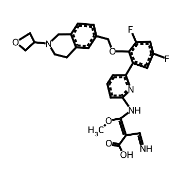 CO/C(Nc1cccc(-c2cc(F)cc(F)c2OCc2ccc3c(c2)CCN(C2COC2)C3)n1)=C(/C=N)C(=O)O